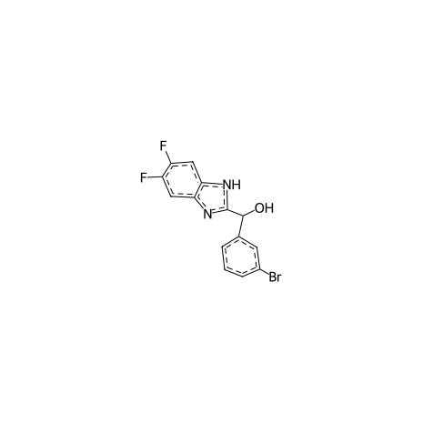 OC(c1cccc(Br)c1)c1nc2cc(F)c(F)cc2[nH]1